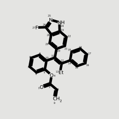 C=CC(=O)Oc1ccccc1/C(=C(\CC)c1ccccc1)c1ccc2[nH]nc(F)c2c1